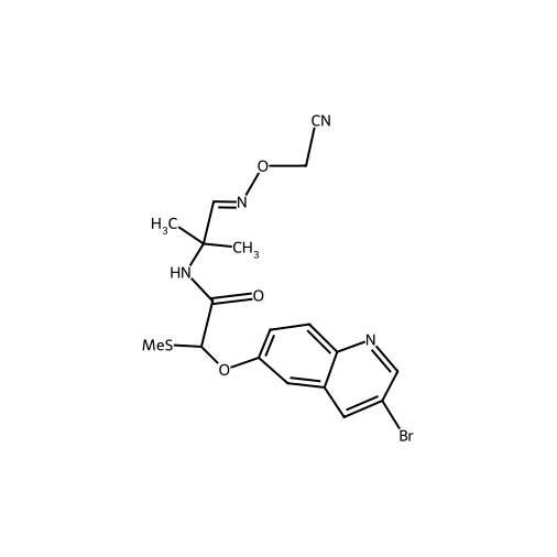 CSC(Oc1ccc2ncc(Br)cc2c1)C(=O)NC(C)(C)C=NOCC#N